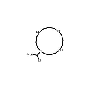 CCCCCCCCCC(CC)N1CCCNCCCNCCCNCCC1